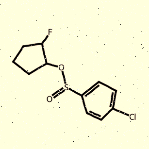 O=S(OC1CCCC1F)c1ccc(Cl)cc1